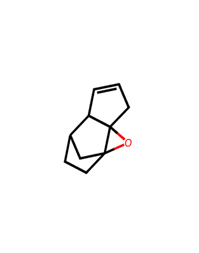 C1=CC2C3CCC4(C3)OC24C1